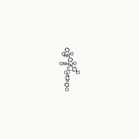 COc1cc(NC(=O)c2ccccc2Cl)ccc1C(=O)N1CCCC(CC(=O)N2CCN(c3ccc(Cl)cc3)CC2)c2cc(Cl)ccc21